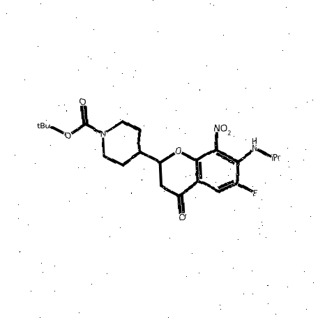 CC(C)Nc1c(F)cc2c(c1[N+](=O)[O-])OC(C1CCN(C(=O)OC(C)(C)C)CC1)CC2=O